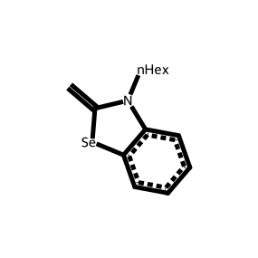 C=C1[Se]c2ccccc2N1CCCCCC